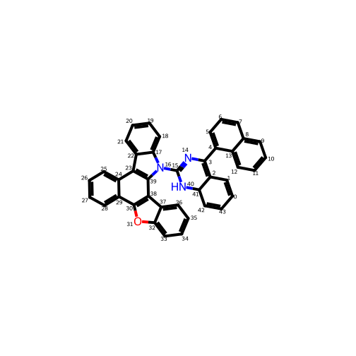 C1=CC2=C(c3cccc4ccccc34)N=C(n3c4ccccc4c4c5ccccc5c5oc6ccccc6c5c43)NC2C=C1